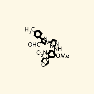 COc1cc(N2CCOCC2)c([N+](=O)[O-])cc1Nc1nccc(-n2cc(C=O)c(-c3ccc(C)cc3)n2)n1